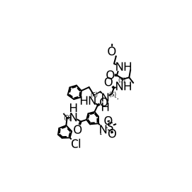 COCCNC(=O)[C@@H](NC(=O)[C@H](C)NC[C@H](Cc1ccccc1)NC(=O)c1cc(C(=O)N[C@H](C)c2cccc(Cl)c2)cc(N(C)S(C)(=O)=O)c1)C(C)C